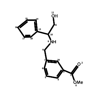 COC(=O)c1cccc(CNC(CO)c2ccccc2)c1